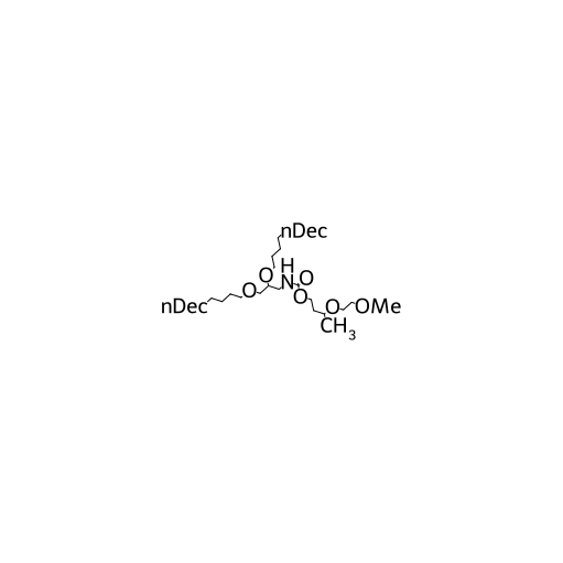 CCCCCCCCCCCCCCOCC(CNC(=O)OCCC(C)OCCOC)OCCCCCCCCCCCCCC